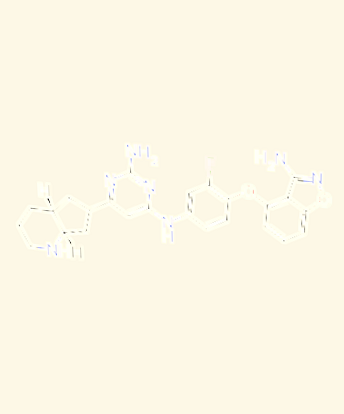 Nc1nc(Nc2ccc(Oc3cccc4onc(N)c34)c(F)c2)cc(C2C[C@H]3CCCN[C@H]3C2)n1